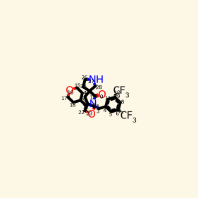 O=C(N(Cc1cc(C(F)(F)F)cc(C(F)(F)F)c1)CC1CCOCC1)C1(CC2COC2)CCNC1